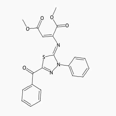 COC(=O)C=C(N=c1sc(C(=O)c2ccccc2)nn1-c1ccccc1)C(=O)OC